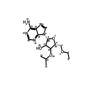 CCOC[C@H]1O[C@@H](n2cnc3c(N)ncnc32)C(O)C1OC(C)C